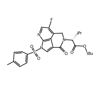 Cc1ccc(S(=O)(=O)n2cc3c4c(c(F)cnc42)CN([C@@H](C(=O)OC(C)(C)C)C(C)C)C3=O)cc1